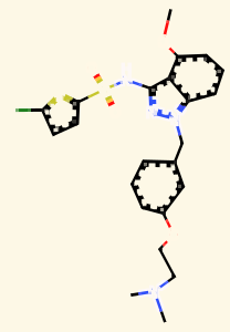 COc1cccc2c1c(NS(=O)(=O)c1ccc(Cl)s1)nn2Cc1cccc(OCCN(C)C)c1